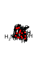 CCCOc1ccc(NC(=O)NC(=O)C[C@@H]2CC(=O)[C@H](NC(=O)[C@H](CC)CC(C)C)[C@H](O)c3ccc(c(Cl)c3)Oc3cc4cc(c3O[C@@H]3O[C@H](CN)[C@@H](O)[C@H](O)[C@H]3O)Oc3ccc(cc3Cl)[C@@H](O)[C@@H]3NC(=O)[C@H](CC(=O)C4NC2=O)c2ccc(O)c(c2)-c2c(O)cc(O)cc2[C@@H](C(=O)CC2C4CC5CC(C4)CC2C5)NC3=O)cc1